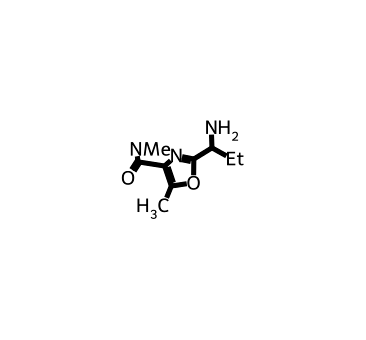 CCC(N)c1nc(C(=O)NC)c(C)o1